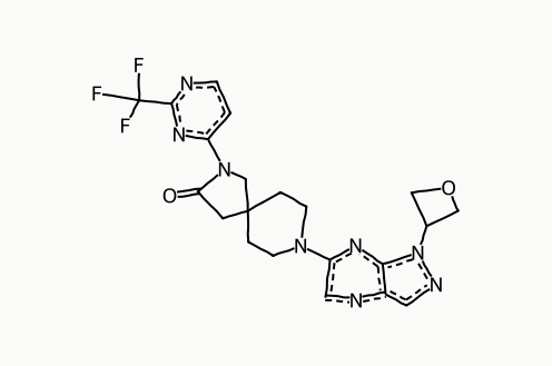 O=C1CC2(CCN(c3cnc4cnn(C5COC5)c4n3)CC2)CN1c1ccnc(C(F)(F)F)n1